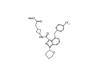 COC(=O)CC1CC(NC(=O)c2nn(C3CCCCO3)c3cccc(Cc4ccc(C(F)(F)F)cc4)c23)C1